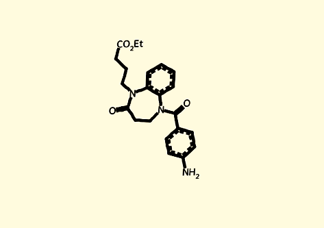 CCOC(=O)CCCN1C(=O)CCN(C(=O)c2ccc(N)cc2)c2ccccc21